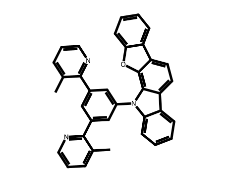 Cc1cccnc1-c1cc(-c2ncccc2C)cc(-n2c3ccccc3c3ccc4c5ccccc5oc4c32)c1